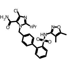 CCCc1nc(Cl)c(C(N)=O)n1Cc1ccc(-c2ccccc2S(=O)(=O)Nc2noc(C)c2C)cc1